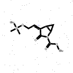 CC(C)(C)OC(=O)N1C(=O)/C(=C\CO[Si](C)(C)C(C)(C)C)C2CC21